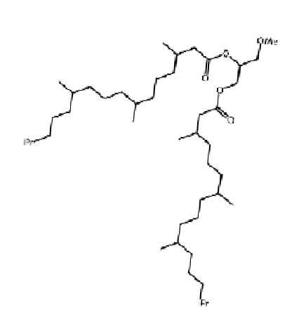 COCC(COC(=O)CC(C)CCCC(C)CCCC(C)CCCC(C)C)OC(=O)CC(C)CCCC(C)CCCC(C)CCCC(C)C